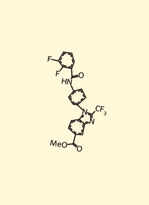 COC(=O)c1ccc2c(c1)nc(C(F)(F)F)n2-c1ccc(NC(=O)c2cccc(F)c2F)cc1